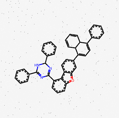 C1=CC2C(c3ccccc3)=CC=C(c3ccc4c(c3)oc3cccc(C5=NC(c6ccccc6)NC(c6ccccc6)=N5)c34)C2C=C1